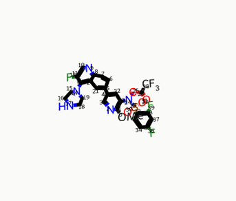 COc1ncc(-c2ccc3ncc(F)c(N4CCNCC4)c3c2)cc1N(OC(=O)C(F)(F)F)S(=O)(=O)c1ccc(F)cc1F